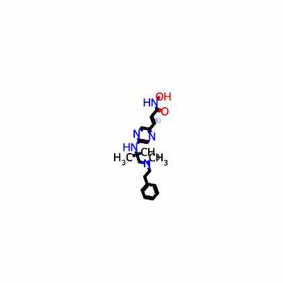 CN(CCc1ccccc1)CC(C)(C)Nc1cnc(/C=C/C(=O)NO)cn1